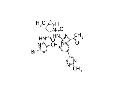 CC(=O)c1nc(NC(=O)N2[C@H](C(=O)Nc3nc(Br)ccc3C)C[C@@]3(C)C[C@@H]23)n2ccc(-c3cnc(C)nc3)cc12